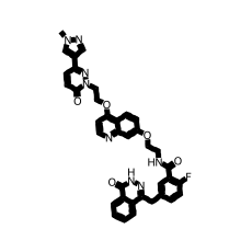 Cn1cc(-c2ccc(=O)n(CCOc3ccnc4cc(OCCNC(=O)c5cc(Cc6n[nH]c(=O)c7ccccc67)ccc5F)ccc34)n2)cn1